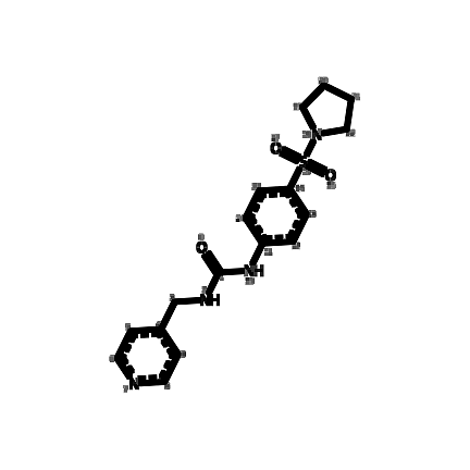 O=C(NCc1ccncc1)Nc1ccc(S(=O)(=O)N2CCCC2)cc1